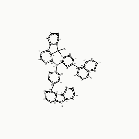 CC1(C)c2ccccc2-c2cccc(N(c3ccc(-c4cccc5sc6ccccc6c45)cc3)c3cccc(-c4cccc5ccccc45)c3)c21